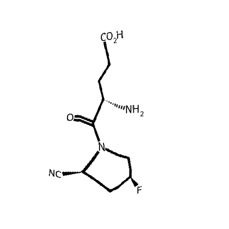 N#C[C@@H]1C[C@H](F)CN1C(=O)[C@@H](N)CCC(=O)O